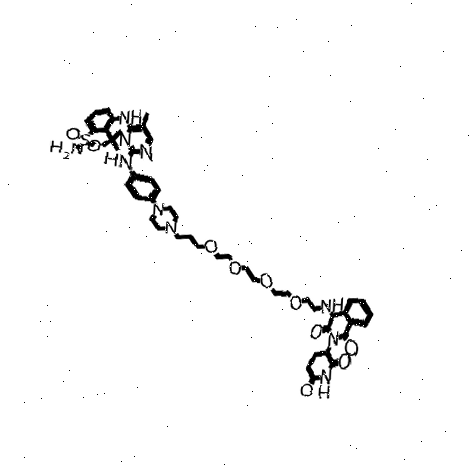 Cc1cnc(Nc2ccc(N3CCN(CCCOCCOCCOCCOCCNC4C(=O)N(C5CCC(=O)NC5=O)C(=O)c5ccccc54)CC3)cc2)nc1Nc1cccc(S(N)(=O)=O)c1C(C)(C)C